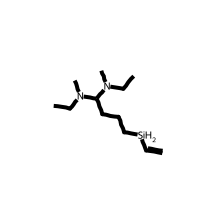 C=C[SiH2]CCCC(N(C)CC)N(C)CC